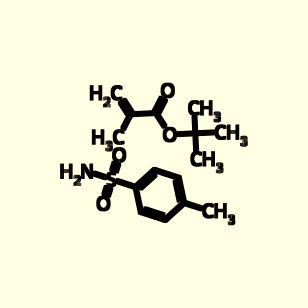 C=C(C)C(=O)OC(C)(C)C.Cc1ccc(S(N)(=O)=O)cc1